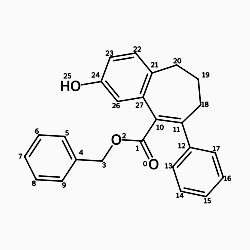 O=C(OCc1ccccc1)C1=C(c2ccccc2)CCCc2ccc(O)cc21